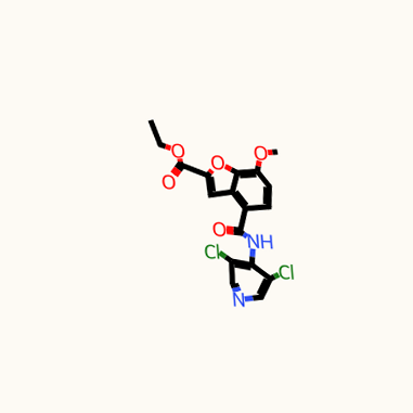 CCOC(=O)c1cc2c(C(=O)Nc3c(Cl)cncc3Cl)ccc(OC)c2o1